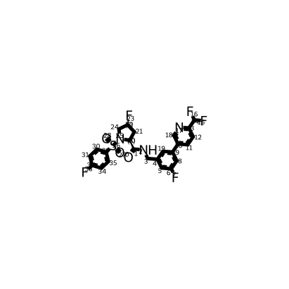 O=C(NCc1cc(F)cc(-c2ccc(C(F)F)nc2)c1)[C@@H]1C[C@@H](F)CN1S(=O)(=O)c1ccc(F)cc1